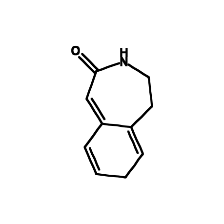 O=C1C=C2C=CCC=C2CCN1